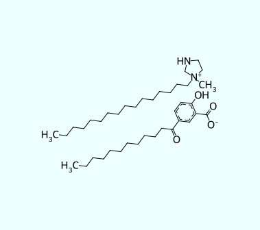 CCCCCCCCCCCC(=O)c1ccc(O)c(C(=O)[O-])c1.CCCCCCCCCCCCCCCC[N+]1(C)CCNC1